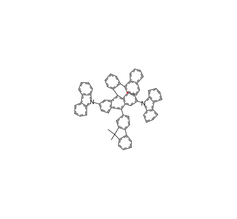 CC1(C)c2ccccc2-c2ccc(-c3c4cc(-n5c6ccccc6c6ccccc65)ccc4c(-c4ccccc4-c4cccc5ccccc45)c4cc(-n5c6ccccc6c6ccccc65)ccc34)cc21